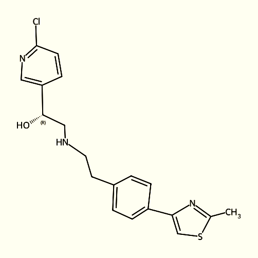 Cc1nc(-c2ccc(CCNC[C@H](O)c3ccc(Cl)nc3)cc2)cs1